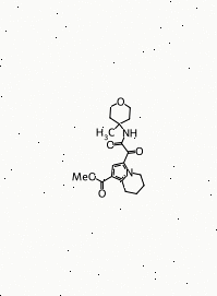 COC(=O)c1cc(C(=O)C(=O)NC2(C)CCOCC2)n2c1CCCC2